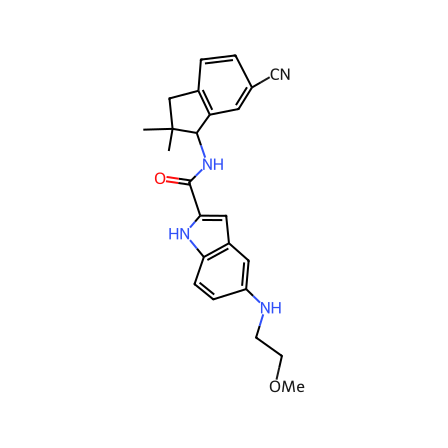 COCCNc1ccc2[nH]c(C(=O)NC3c4cc(C#N)ccc4CC3(C)C)cc2c1